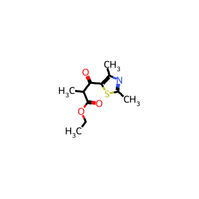 CCOC(=O)C(C)C(=O)c1sc(C)nc1C